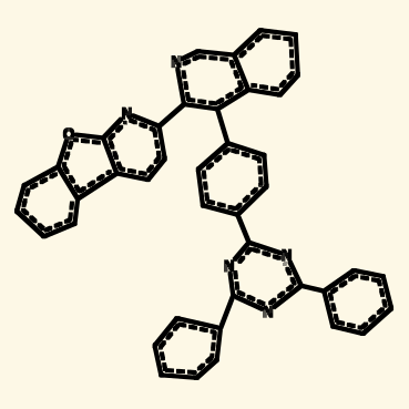 c1ccc(-c2nc(-c3ccccc3)nc(-c3ccc(-c4c(-c5ccc6c(n5)oc5ccccc56)ncc5ccccc45)cc3)n2)cc1